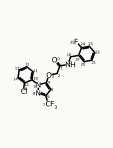 O=C(COc1cc(C(F)(F)F)nn1-c1ccccc1Cl)NCc1ccccc1F